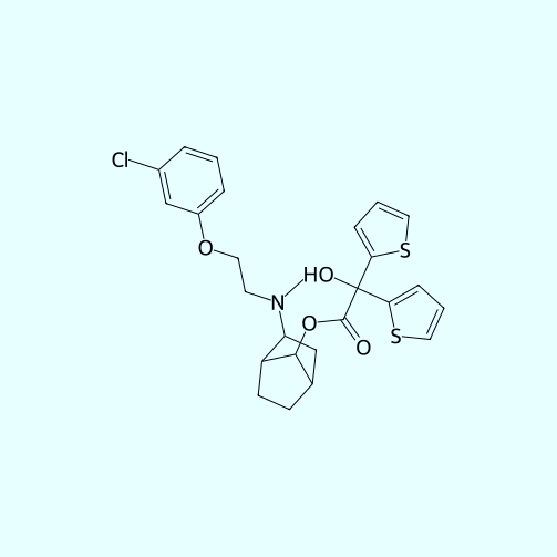 CN(CCOc1cccc(Cl)c1)C1CC2CCC1C2OC(=O)C(O)(c1cccs1)c1cccs1